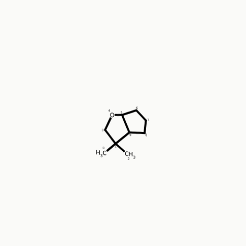 CC1(C)COC2CCCC21